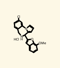 COc1cccc2cc(C3NCc4ccc(Cl)cc4-n4cccc43)oc12.Cl